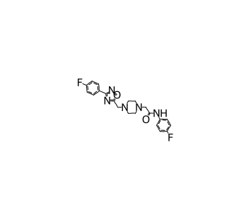 O=C(CN1CCN(Cc2nc(-c3ccc(F)cc3)no2)CC1)Nc1ccc(F)cc1